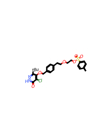 Cc1ccc(S(=O)(=O)OCCOCCc2ccc(COc3c(C(C)(C)C)n[nH]c(=O)c3Cl)cc2)cc1